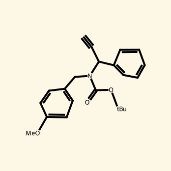 C#CC(c1ccccc1)N(Cc1ccc(OC)cc1)C(=O)OC(C)(C)C